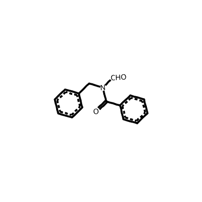 O=CN(Cc1ccccc1)C(=O)c1ccccc1